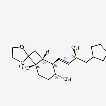 C[C@]12CC[C@@H](O)[C@H](/C=C/[C@@H](O)CC3CCCC3)[C@H]1CC21OCCO1